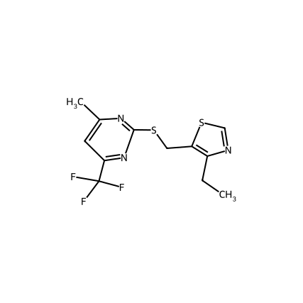 CCc1ncsc1CSc1nc(C)cc(C(F)(F)F)n1